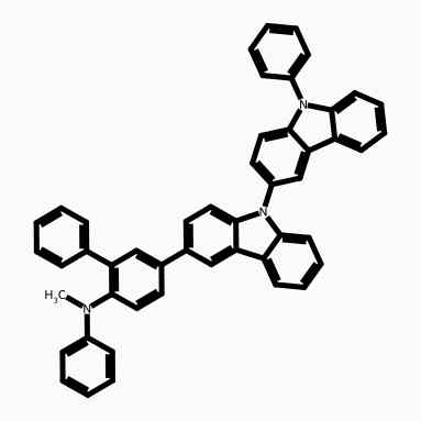 CN(c1ccccc1)c1ccc(-c2ccc3c(c2)c2ccccc2n3-c2ccc3c(c2)c2ccccc2n3-c2ccccc2)cc1-c1ccccc1